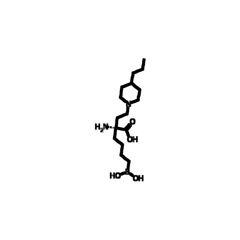 CCCC1CCN(CC[C@](N)(CCCCB(O)O)C(=O)O)CC1